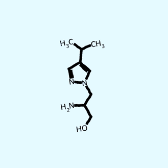 CC(C)c1cnn(CC(N)CO)c1